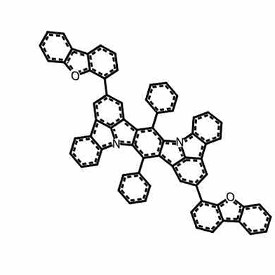 c1ccc(-c2c3c4cc(-c5cccc6c5oc5ccccc56)cc5c6ccccc6n(c3c(-c3ccccc3)c3c6cc(-c7cccc8c7oc7ccccc78)cc7c8ccccc8n(c23)c76)c54)cc1